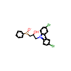 [O-][S+](CC(O)Cn1c2ccc(Br)cc2c2cc(Br)ccc21)c1ccccc1